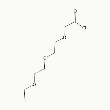 [CH2]COCCOCCOCC(=O)Cl